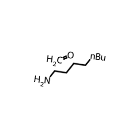 C=O.CCCCCCCCN